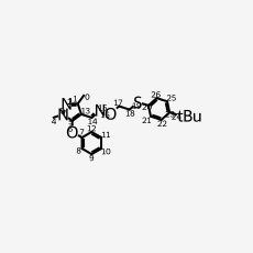 Cc1nn(C)c(Oc2ccccc2)c1C=NOCCSc1ccc(C(C)(C)C)cc1